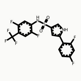 O=S(=O)(Nc1cc(F)c(C(F)(F)F)cc1F)c1c[nH]c(-c2ccc(F)cc2F)c1